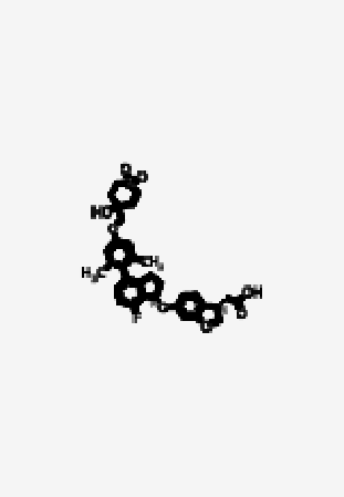 Cc1cc(OCC2(O)CCS(=O)(=O)CC2)cc(C)c1-c1ccc(F)c2c1CC[C@H]2Oc1ccc2c(c1)OC[C@H]2CC(=O)O